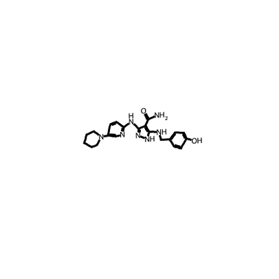 NC(=O)c1c(Nc2ccc(N3CCCCC3)cn2)n[nH]c1NCc1ccc(O)cc1